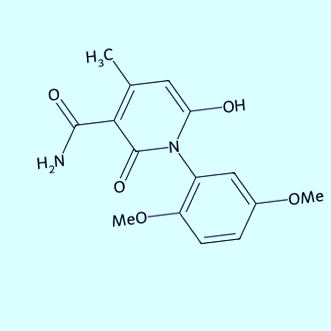 COc1ccc(OC)c(-n2c(O)cc(C)c(C(N)=O)c2=O)c1